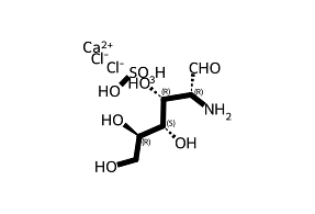 N[C@@H](C=O)[C@@H](O)[C@H](O)[C@H](O)CO.O=S(=O)(O)O.[Ca+2].[Cl-].[Cl-]